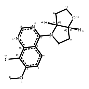 COc1ccc2c(N3CC[C@H]4OCC[C@H]43)ncnc2c1Cl